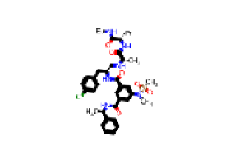 CCNC(=O)[C@@H](NC(=O)[C@H](C)NC[C@H](Cc1ccc(Cl)cc1)NC(=O)c1cc(C(=O)N[C@H](C)c2ccccc2)cc(N(C)S(C)(=O)=O)c1)C(C)C